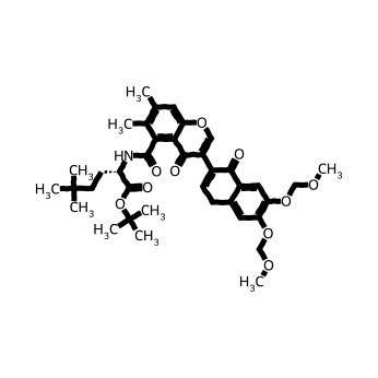 COCOc1cc2c(cc1OCOC)C(=O)C(c1coc3cc(C)c(C)c(C(=O)N[C@@H](CCC(C)(C)C)C(=O)OC(C)(C)C)c3c1=O)=CC2